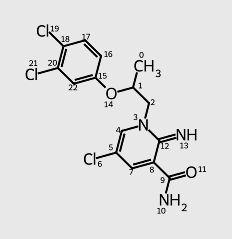 CC(Cn1cc(Cl)cc(C(N)=O)c1=N)Oc1ccc(Cl)c(Cl)c1